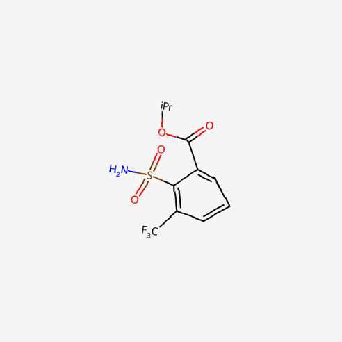 CC(C)OC(=O)c1cccc(C(F)(F)F)c1S(N)(=O)=O